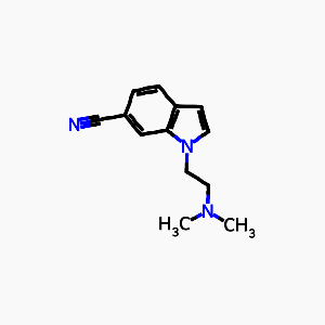 CN(C)CCn1ccc2ccc(C#N)cc21